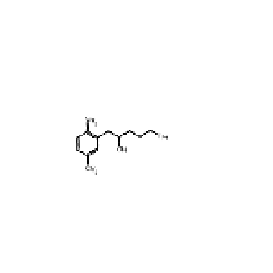 Cc1ccc(N)c(CC(O)CCCO)c1